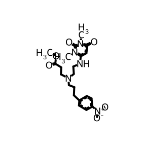 COC(=O)CCN(CCCc1ccc([N+](=O)[O-])cc1)CCNc1cc(=O)n(C)c(=O)n1C